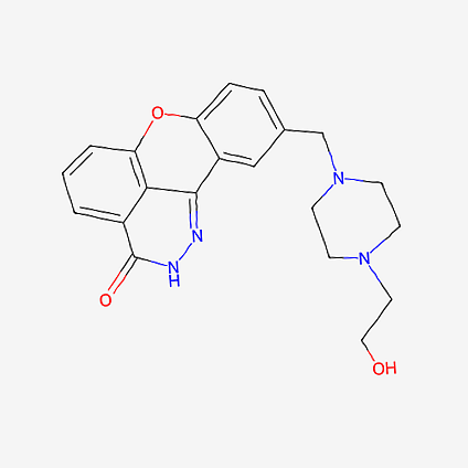 O=c1[nH]nc2c3c(cccc13)Oc1ccc(CN3CCN(CCO)CC3)cc1-2